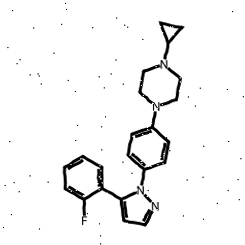 Fc1ccccc1-c1ccnn1-c1ccc(N2CCN(C3CC3)CC2)cc1